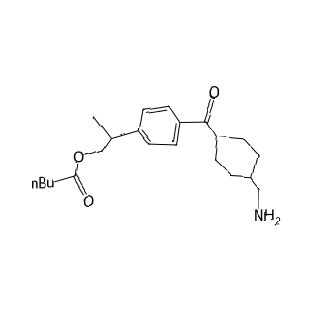 CCCCC(=O)OCC(C)c1ccc(C(=O)C2CCC(CN)CC2)cc1